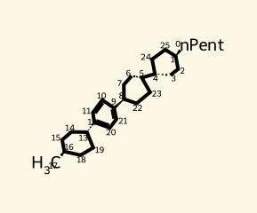 CCCCC[C@H]1CC[C@H]([C@H]2CC[C@H](c3ccc([C@H]4CC[C@H](C)CC4)cc3)CC2)CC1